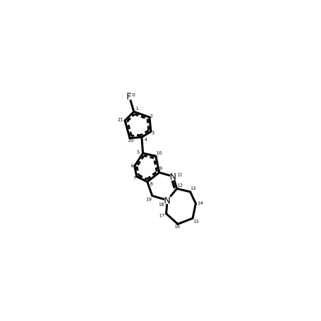 Fc1ccc(-c2ccc3c(c2)N=C2CCCCCN2C3)cc1